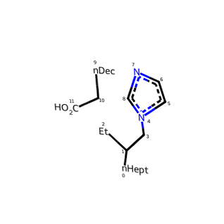 CCCCCCCC(CC)Cn1ccnc1.CCCCCCCCCCCC(=O)O